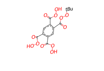 CC(C)(C)OOC(=O)c1cc(C(=O)OO)c(C(=O)OO)cc1C(=O)OO